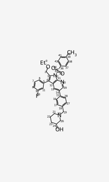 CCOCc1c(-c2cccc(F)c2)c2cc(-c3ccc(CN4CCCC(O)C4)cc3)cnc2n1S(=O)(=O)c1ccc(C)cc1